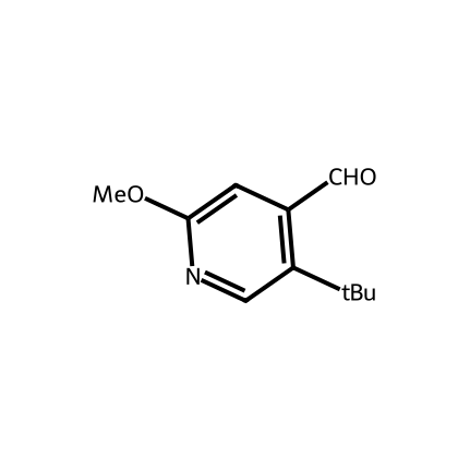 COc1cc(C=O)c(C(C)(C)C)cn1